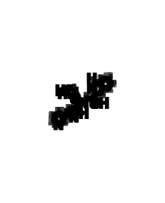 Cl.Cl.O=C(NCC(O)[C@@H]1Cc2ccccc2CN1)c1cnn(-c2cccnc2)c1